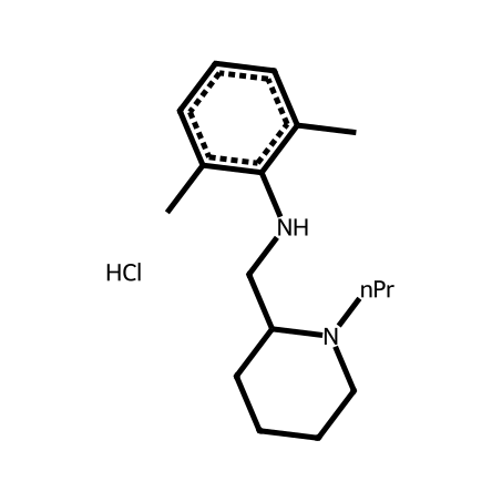 CCCN1CCCCC1CNc1c(C)cccc1C.Cl